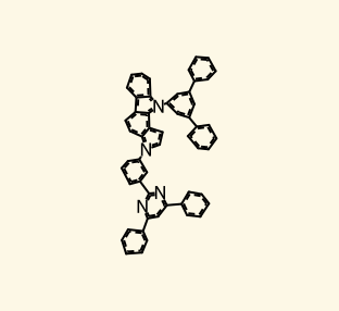 c1ccc(-c2cc(-c3ccccc3)cc(-n3c4ccccc4c4ccc5c(ccn5-c5cccc(-c6nc(-c7ccccc7)cc(-c7ccccc7)n6)c5)c43)c2)cc1